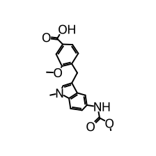 COC(=O)Nc1ccc2c(c1)c(Cc1ccc(C(=O)O)cc1OC)cn2C